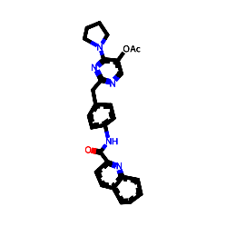 CC(=O)Oc1cnc(Cc2ccc(NC(=O)c3ccc4ccccc4n3)cc2)nc1N1CCCC1